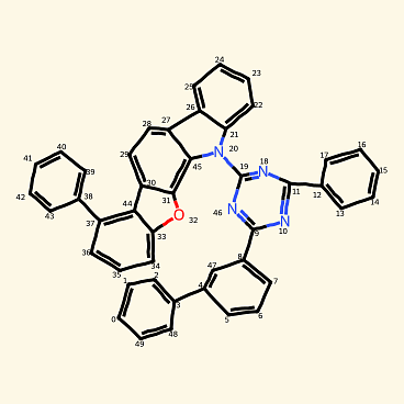 c1ccc(-c2cccc(-c3nc(-c4ccccc4)nc(-n4c5ccccc5c5ccc6c(oc7cccc(-c8ccccc8)c76)c54)n3)c2)cc1